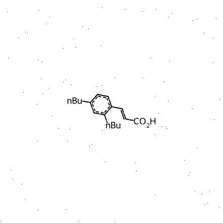 CCCCc1ccc(C=CC(=O)O)c(CCCC)c1